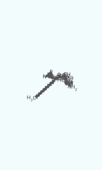 CCCCCCCCCCCCCCCCCC[C@@H](COP(=O)(O)OC[C@@](C#N)(OC)[C@@H](O)[C@@H](O)c1ccc2c(N)ncnn12)OCc1cc(F)cc(C#N)c1